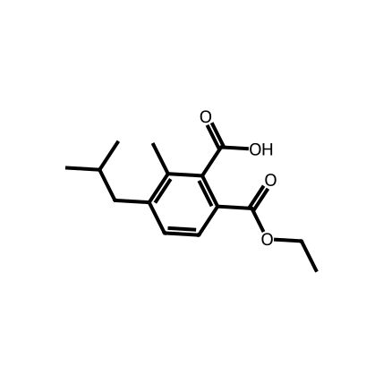 CCOC(=O)c1ccc(CC(C)C)c(C)c1C(=O)O